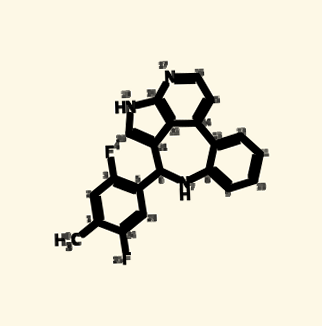 Cc1cc(F)c(C2Nc3ccccc3-c3ccnc4[nH]cc2c34)cc1F